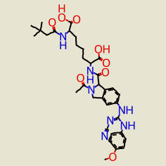 COc1ccc(NC(=NC#N)Nc2ccc3c(c2)CN(C(C)=O)C3C(=O)NC(CCCCC(NC(=O)CC(C)(C)C)C(=O)O)C(=O)O)cc1